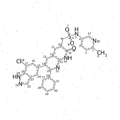 Cc1ccc(NS(=O)(=O)Cc2cc3cc(-c4cc(Cl)c5[nH]ncc5c4)c(-c4ccccc4)nc3[nH]c2=O)cn1